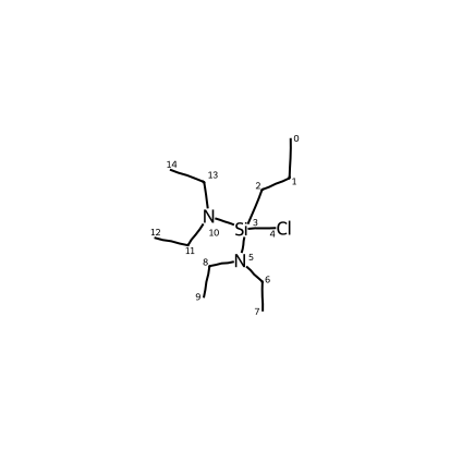 CCC[Si](Cl)(N(CC)CC)N(CC)CC